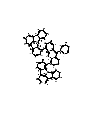 c1ccc(-c2c3cccc(-c4cccc5c6cccc7c8ccccc8n(c45)c76)c3cc3c(-c4cccc5c6cccc7c8ccccc8n(c45)c76)cccc23)cc1